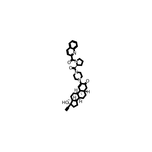 C#C[C@]1(O)CC[C@H]2[C@@H]3CC[C@H]4CC(=O)C(N5CCN(C(=O)[C@@H]6CCCN6C(=O)c6ccc7ccccc7n6)CC5)=C[C@]4(C)[C@H]3CC[C@@]21C